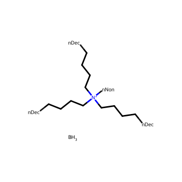 B.CCCCCCCCCCCCCC[N+](CCCCCCCCC)(CCCCCCCCCCCCCC)CCCCCCCCCCCCCC